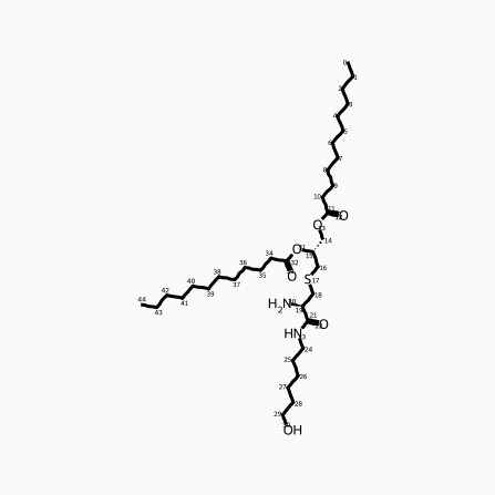 CCCCCCCCCCCC(=O)OC[C@H](CSC[C@H](N)C(=O)NCCCCCCO)OC(=O)CCCCCCCCCCC